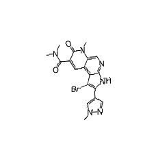 CN(C)C(=O)c1cc2c3c(Br)c(-c4cnn(C)c4)[nH]c3ncc2n(C)c1=O